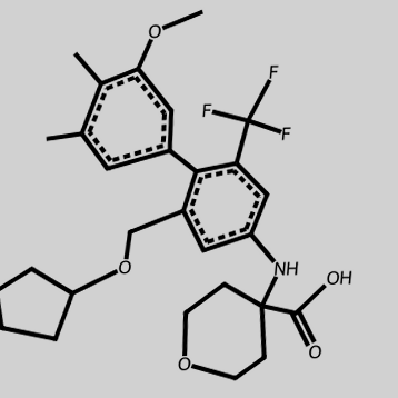 COc1cc(-c2c(COC3CCCC3)cc(NC3(C(=O)O)CCOCC3)cc2C(F)(F)F)cc(C)c1C